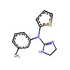 Cc1cccc(N(C2=NCCN2)c2cccs2)c1